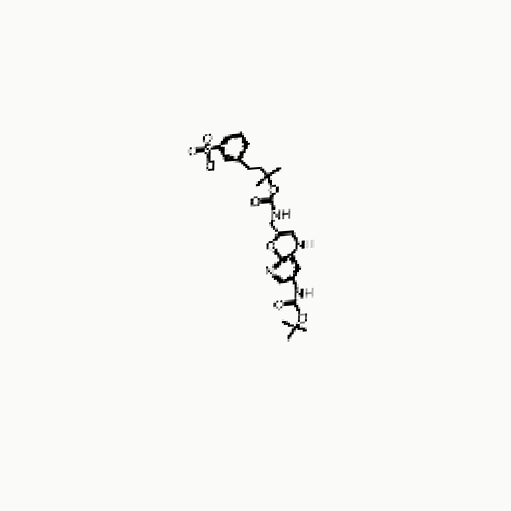 CC(C)(C)OC(=O)Nc1cnc2c(c1)NC[C@H](CNC(=O)OC(C)(C)CCc1cccc(S(=O)(=O)Cl)c1)O2